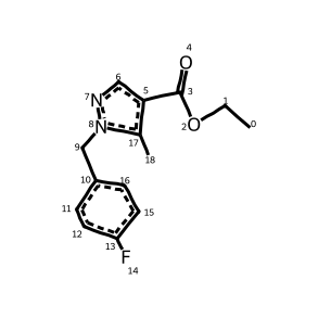 CCOC(=O)c1cnn(Cc2ccc(F)cc2)c1C